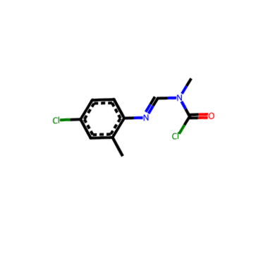 Cc1cc(Cl)ccc1N=CN(C)C(=O)Cl